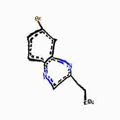 CC(C)(C)Cc1cnc2ccc(Br)cc2n1